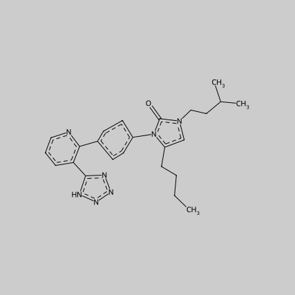 CCCCc1cn(CCC(C)C)c(=O)n1-c1ccc(-c2ncccc2-c2nnn[nH]2)cc1